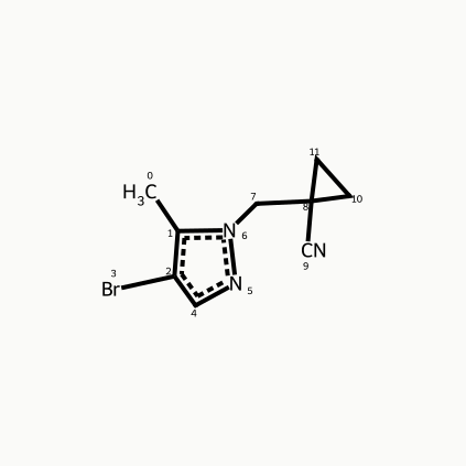 Cc1c(Br)cnn1CC1(C#N)CC1